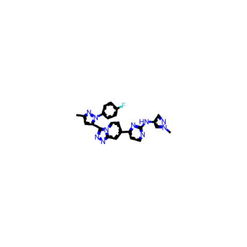 Cc1cc(-c2nnc3cc(-c4ccnc(Nc5cnn(C)c5)n4)ccn23)n(-c2ccc(F)cc2)n1